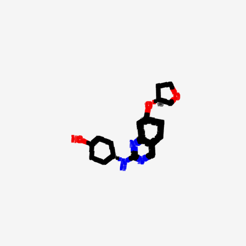 O[C@H]1CC[C@H](Nc2ncc3ccc(O[C@@H]4CCOC4)cc3n2)CC1